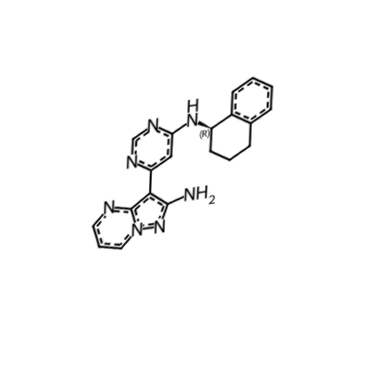 Nc1nn2cccnc2c1-c1cc(N[C@@H]2CCCc3ccccc32)ncn1